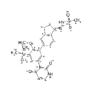 COc1c(-c2ccc3c(c2)CC/C3=N\NS(C)(=O)=O)cc(-n2c(=O)cc[nH]c2=O)cc1C(C)(C)C